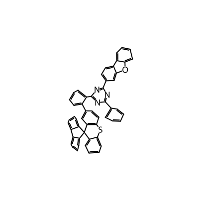 c1ccc(-c2nc(-c3ccc4c(c3)oc3ccccc34)nc(-c3ccccc3-c3ccc4c(c3)C3(c5ccccc5S4)c4ccccc4-c4ccccc43)n2)cc1